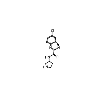 O=C(N[C@H]1CCNC1)c1ncc2cc(Cl)ccc2n1